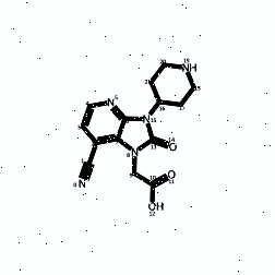 N#Cc1ccnc2c1n(CC(=O)O)c(=O)n2C1CCNCC1